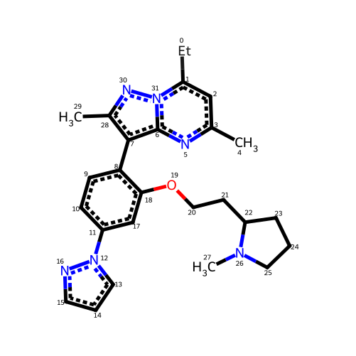 CCc1cc(C)nc2c(-c3ccc(-n4cccn4)cc3OCCC3CCCN3C)c(C)nn12